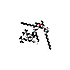 CCCCCCCCCCN(C=O)CC(=O)N(CC(=O)N(CCCCCCCCCC)CC(=O)N(CC(=O)N(CCN(C(C)C)C(C)C)CC(=O)N(CCN(C(C)C)C(C)C)CC(N)=O)CC(CC)CCCC)CC(CC)CCCC